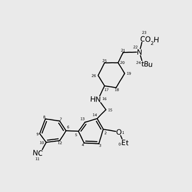 CCOc1ccc(-c2cccc(C#N)c2)cc1CNC1CCC(CN(C(=O)O)C(C)(C)C)CC1